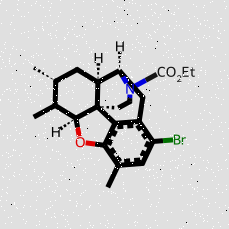 CCOC(=O)N1CC[C@]23c4c5c(Br)cc(C)c4O[C@H]2C(C)[C@H](C)C[C@H]3[C@H]1C5